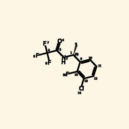 C[C@@H](NC(=O)C(F)(F)F)c1cccc(Cl)c1F